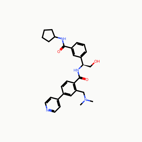 CN(C)Cc1cc(-c2ccncc2)ccc1C(=O)N[C@H](CO)c1cccc(C(=O)NC2CCCC2)c1